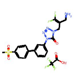 CS(=O)(=O)c1ccc(-c2cccc(-n3nnn(CC(CN)=C(F)F)c3=O)c2)cc1.O=C(O)C(F)(F)F